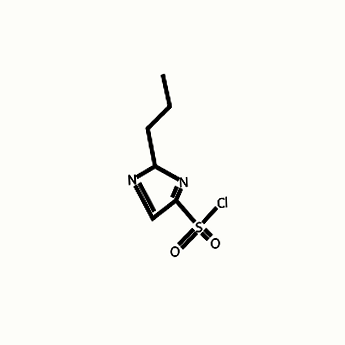 CCCC1N=CC(S(=O)(=O)Cl)=N1